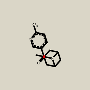 CN1CC2CC(C1)N2C(=O)c1ccc(C(F)(F)F)nc1